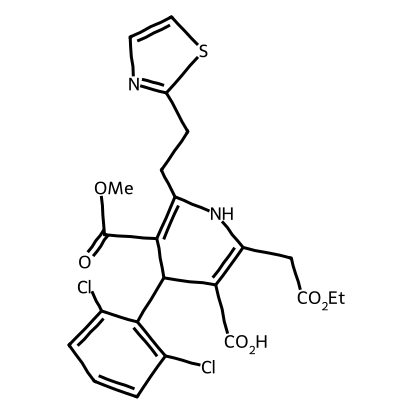 CCOC(=O)CC1=C(C(=O)O)C(c2c(Cl)cccc2Cl)C(C(=O)OC)=C(CCc2nccs2)N1